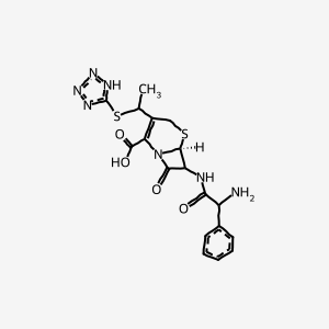 CC(Sc1nnn[nH]1)C1=C(C(=O)O)N2C(=O)C(NC(=O)C(N)c3ccccc3)[C@@H]2SC1